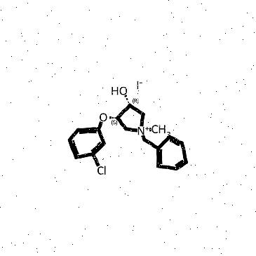 C[N+]1(Cc2ccccc2)C[C@@H](O)[C@@H](Oc2cccc(Cl)c2)C1.[I-]